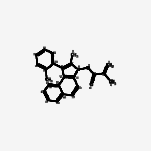 C=C(C)C(=O)On1c(C)c(-c2ccccc2C)c2c3ccccc3ccc21